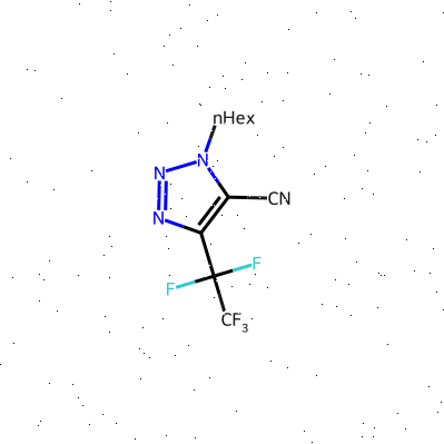 CCCCCCn1nnc(C(F)(F)C(F)(F)F)c1C#N